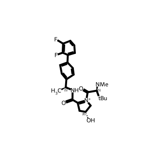 CN[C@H](C(=O)[N+]1=C(C(=O)N[C@@H](C)c2ccc(-c3cccc(F)c3F)cc2)C[C@@H](O)C1)C(C)(C)C